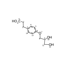 O=C(O)CCc1ccc(OCC(O)CO)cc1